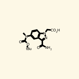 CN(C(=O)OC(C)(C)C)c1ccc2c(c1)c(C(N)=O)nn2CC(=O)O